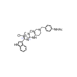 C=N/C(=N\C(=C(/C)Cl)c1c[nH]c2ccccc12)NC1CCN(Cc2ccc(NC(C)=O)cc2)CC1